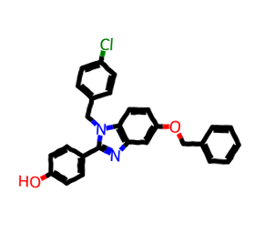 Oc1ccc(-c2nc3cc(OCc4ccccc4)ccc3n2Cc2ccc(Cl)cc2)cc1